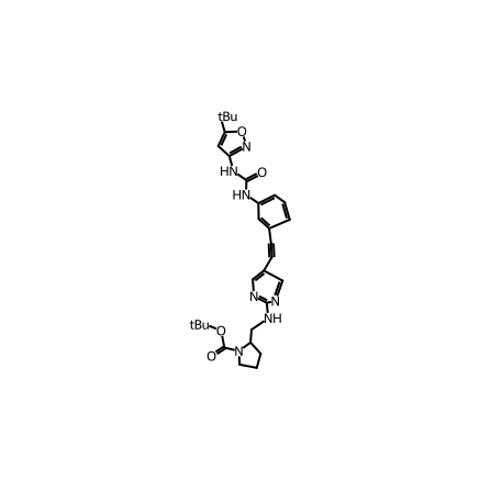 CC(C)(C)OC(=O)N1CCCC1CNc1ncc(C#Cc2cccc(NC(=O)Nc3cc(C(C)(C)C)on3)c2)cn1